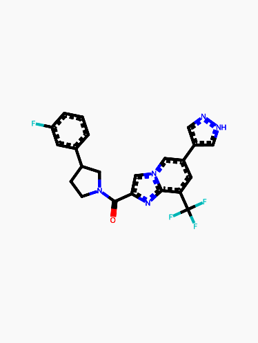 O=C(c1cn2cc(-c3cn[nH]c3)cc(C(F)(F)F)c2n1)N1CCC(c2cccc(F)c2)C1